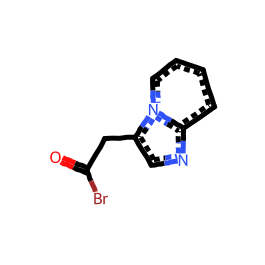 O=C(Br)Cc1cnc2ccccn12